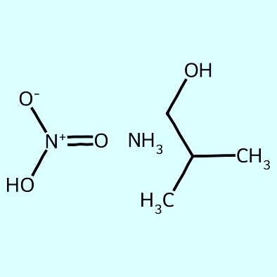 CC(C)CO.N.O=[N+]([O-])O